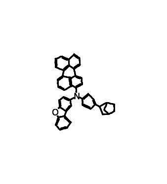 c1ccc(-c2cccc3cccc(-c4ccc(N(c5ccc(C6CC7CCC6C7)cc5)c5ccc6oc7ccccc7c6c5)cc4)c23)cc1